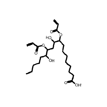 C=CC(=O)OC(CCCCCCCC(=O)O)C(O)CC(OC(=O)C=C)C(O)CCCCC